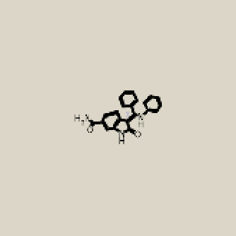 NC(=O)c1ccc2c(c1)NC(=O)/C2=C(\Nc1ccccc1)c1ccccc1